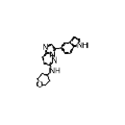 c1cc2cc(-c3cnc4ccc(NC5CCOCC5)nn34)ccc2[nH]1